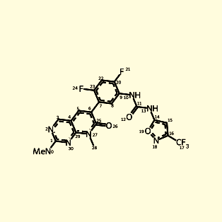 CNc1ncc2cc(-c3cc(NC(=O)Nc4cc(C(F)(F)F)no4)c(F)cc3F)c(=O)n(C)c2n1